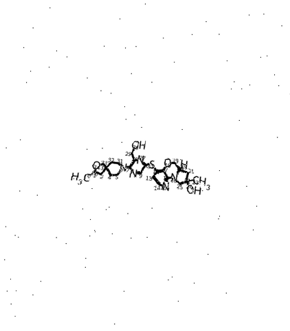 C[C@H]1CC2(CCN(c3ncc(Sc4ccnc5c4OC[C@@H]4C[C@](C)(O)CN54)nc3CO)CC2)CO1